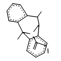 CC(=O)OC1c2ccccc2C2(C)c3ccccc3C1N2C(=O)OC(C)(C)C